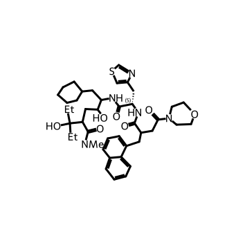 CCC(O)(CC)C(CC(O)C(CC1CCCCC1)NC(=O)[C@H](Cc1cscn1)NC(=O)C(CC(=O)N1CCOCC1)Cc1cccc2ccccc12)C(=O)NC